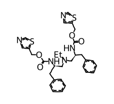 CCN(C[C@@H](Cc1ccccc1)NC(=O)OCc1cncs1)C[C@H](Cc1ccccc1)NC(=O)OCc1cncs1